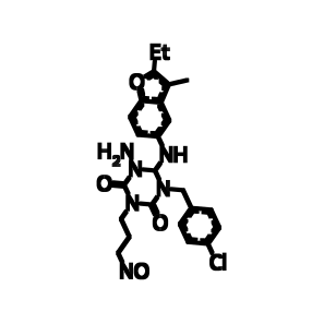 CCc1oc2ccc(NC3N(N)C(=O)N(CCCN=O)C(=O)N3Cc3ccc(Cl)cc3)cc2c1C